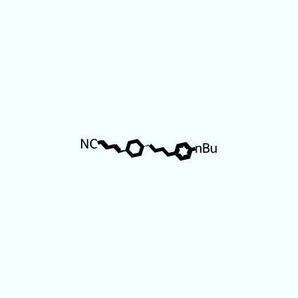 CCCCc1ccc(CCCC[C@H]2CC[C@H](C=CC=CC#N)CC2)cc1